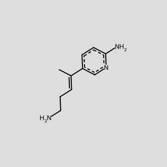 CC(=CCCN)c1ccc(N)nc1